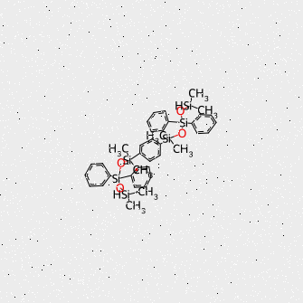 C[SiH](C)O[Si](O[Si](C)(C)c1ccc([Si](C)(C)O[Si](O[SiH](C)C)(c2ccccc2)c2ccccc2)cc1)(c1ccccc1)c1ccccc1